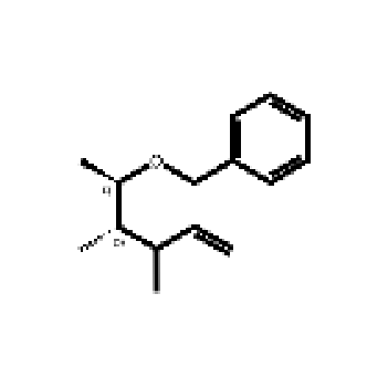 C=CC(C)[C@H](C)[C@@H](C)OCc1ccccc1